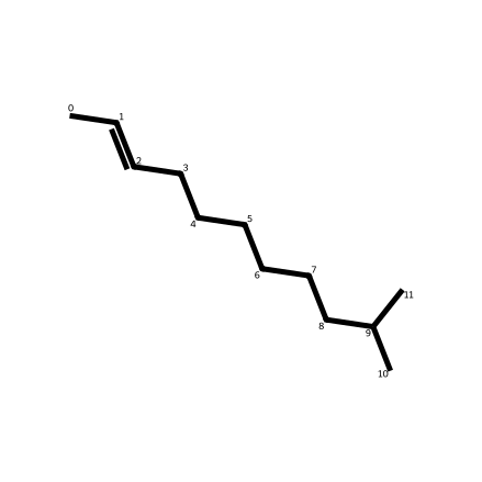 CC=CCCCCCCC(C)C